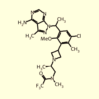 COc1c(C(C)n2nc(C)c3c(N)ncnc32)cc(Cl)c(C)c1C1CN([C@H](C)CN(C)C(=O)C(F)(F)F)C1